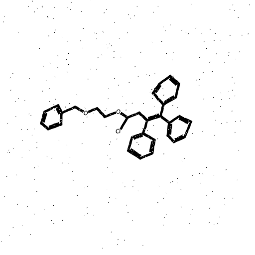 ClC(CC(=C(c1ccccc1)c1ccccc1)c1ccccc1)OCCOCc1ccccc1